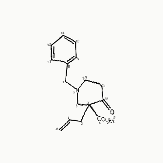 C=CCC1(C(=O)OCC)CN(Cc2ccccc2)CCC1=O